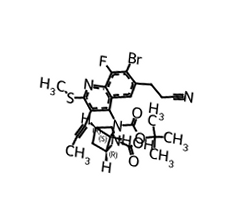 CC#Cc1c(SC)nc2c(F)c(Br)c(CCC#N)cc2c1N(C(=O)OC(C)(C)C)[C@H]1[C@@H]2C[C@H]1N(C(=O)O)C2